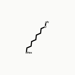 [CH2]CCOCCCCCCCCCCCCC